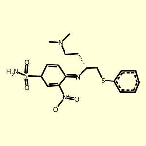 CN(C)CC[C@H](CSc1ccccc1)/N=C1\C=CC(S(N)(=O)=O)C=C1[N+](=O)[O-]